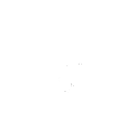 O/N=C(\Cl)[C@H]1COC2(CCCCC2)O1